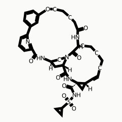 O=C1CCCCOc2cccc(c2)-c2cccc(n2)C(=O)N[C@@H]2C[C@H]3C(=O)N[C@]4(C(=O)NS(=O)(=O)C5CC5)C[C@H]4/C=C\CCCCC[C@H](N1)C(=O)N3C2